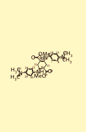 COC(=O)C1=C(Nc2ccc(N(C)C)cc2)CC(C(=O)OC)C(Nc2ccc(N(C)C)cc2)C1